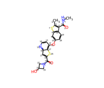 CNC(=O)c1c(C)sc2cc(Oc3ccnc4cc(C(=O)N5CC(O)C5)sc34)ccc12